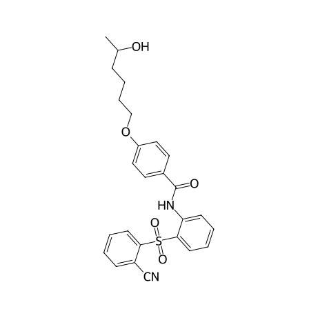 CC(O)CCCCOc1ccc(C(=O)Nc2ccccc2S(=O)(=O)c2ccccc2C#N)cc1